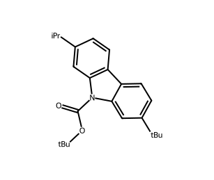 CC(C)c1ccc2c3ccc(C(C)(C)C)cc3n(C(=O)OC(C)(C)C)c2c1